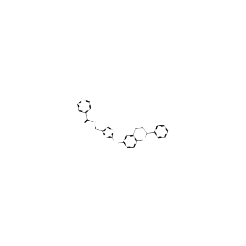 O=C(NCc1cnc(Oc2ccc3c(c2)CCC(c2ccccc2)O3)s1)c1ccncc1